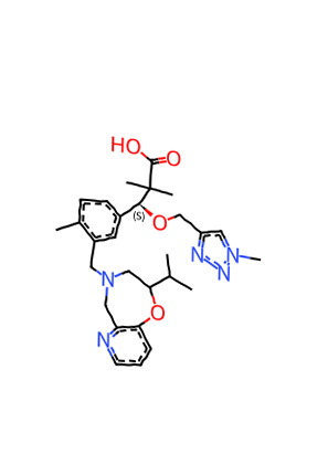 Cc1ccc([C@H](OCc2cn(C)nn2)C(C)(C)C(=O)O)cc1CN1Cc2ncccc2OC(C(C)C)C1